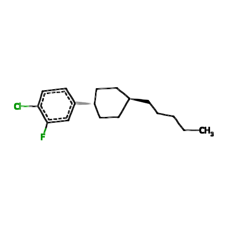 CCCCC[C@H]1CC[C@H](c2ccc(Cl)c(F)c2)CC1